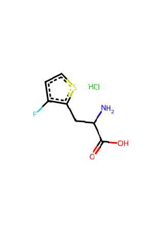 Cl.NC(Cc1sccc1F)C(=O)O